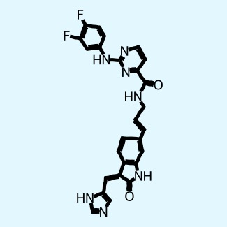 O=C1Nc2cc(/C=C/CNC(=O)c3ccnc(Nc4ccc(F)c(F)c4)n3)ccc2C1=Cc1cnc[nH]1